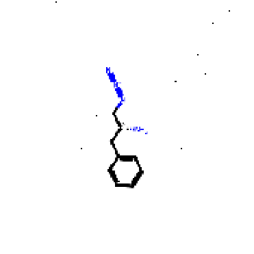 [N-]=[N+]=NC[C@H](N)Cc1ccccc1